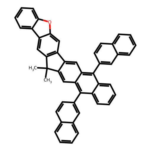 CC1(C)c2cc3c(-c4ccc5ccccc5c4)c4ccccc4c(-c4ccc5ccccc5c4)c3cc2-c2cc3oc4ccccc4c3cc21